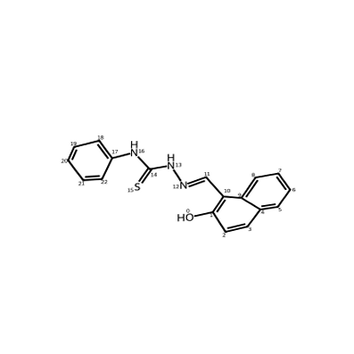 Oc1ccc2ccccc2c1C=NNC(=S)Nc1ccccc1